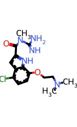 CN(C)CCOc1ccc(Cl)c2cc(C(=O)N(C)C(=N)N)[nH]c12